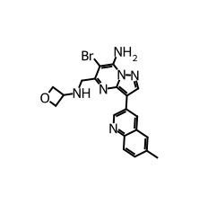 Cc1ccc2ncc(-c3cnn4c(N)c(Br)c(CNC5COC5)nc34)cc2c1